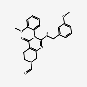 COc1cccc(CNc2nc3c(c(=O)n2-c2ccccc2OC)CCN(C=O)C3)c1